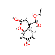 CCOC(=O)c1cc(=O)oc2cc(O)ccc12